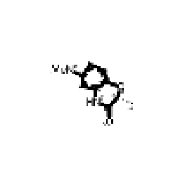 CNc1ccc2c(c1)NC(=O)[C@@H](C)O2